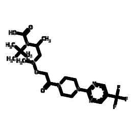 CC(CN(C)OCC(=O)N1CCN(c2ncc(C(F)(F)F)cn2)CC1)N(C(=O)O)C(C)(C)C